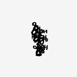 C[C@]12C=CC(=O)C=C1CC[C@@H]1[C@@H]2C(O)C[C@@]2(C)[C@H]1CC[C@]2(O)C(=O)COC(=O)c1ccccc1S(=O)(=O)O